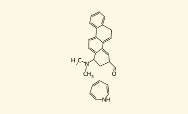 C1=CC=CNC=C1.CN(C)C1CC(C=O)C=c2c1ccc1c2=CCc2ccccc2-1